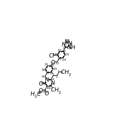 CCCCc1nc(C)c(C(=O)OC)c(=O)n1Cc1ccc(OCc2ccc(-c3nnn[nH]3)cc2Cl)cc1